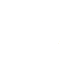 BC1=C2C=CC=C3c4ccccc4C(C=C1)C32